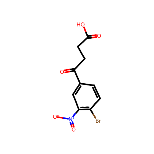 O=C(O)CCC(=O)c1ccc(Br)c([N+](=O)[O-])c1